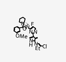 C=C1C(c2ncc(F)c(NC[C@H]3CCCCN3C(=O)c3cccc(OC)c3)n2)=CN/C1=N/C=C(/Cl)CC